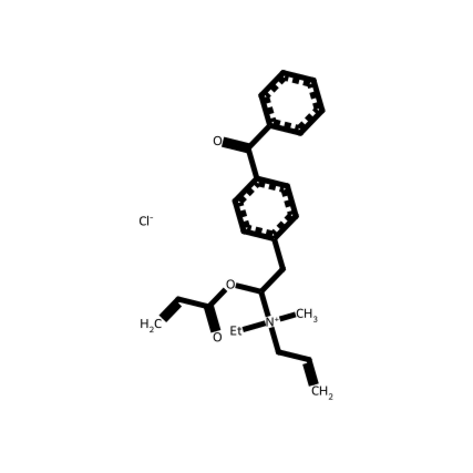 C=CC[N+](C)(CC)C(Cc1ccc(C(=O)c2ccccc2)cc1)OC(=O)C=C.[Cl-]